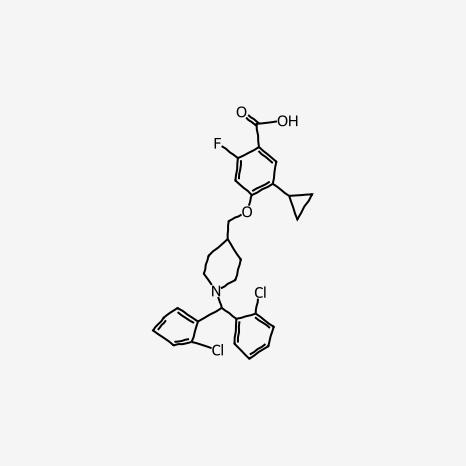 O=C(O)c1cc(C2CC2)c(OCC2CCN(C(c3ccccc3Cl)c3ccccc3Cl)CC2)cc1F